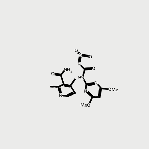 COc1cc(OC)nc(NC(=O)N=S(=O)=O)n1.Cc1ccnc(C)c1C(N)=O